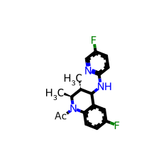 CC(=O)N1c2ccc(F)cc2C(Nc2ccc(F)cn2)[C@@H](C)[C@@H]1C